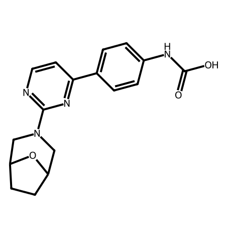 O=C(O)Nc1ccc(-c2ccnc(N3CC4CCC(C3)O4)n2)cc1